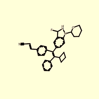 N#C/C=C/c1ccc(/C(=C(\c2ccccc2)C2CCC2)c2ccc3c(c2)C(F)NN3C2CCCCO2)cc1